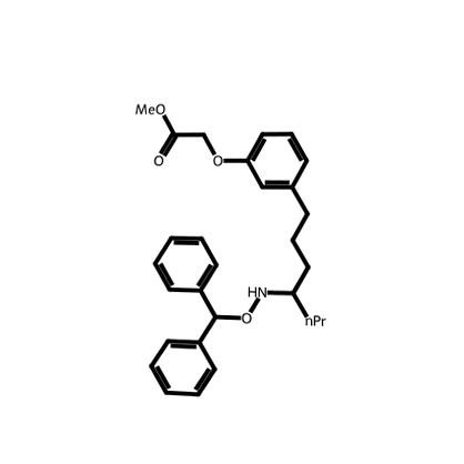 CCCC(CCCc1cccc(OCC(=O)OC)c1)NOC(c1ccccc1)c1ccccc1